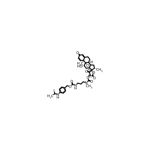 CCC(=O)O[C@]1(C(=O)COC(=O)N(C)CCCNC(=O)OCc2ccc(NC(C)I)cc2)[C@@H](C)CC2[C@@H]3CCC4=CC(=O)C=C[C@]4(C)[C@@]3(Cl)[C@@H](O)C[C@@]21C